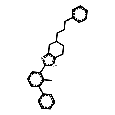 Cc1c(-c2ccccc2)cccc1-c1nc2c([nH]1)CCC(CCCc1ccccc1)C2